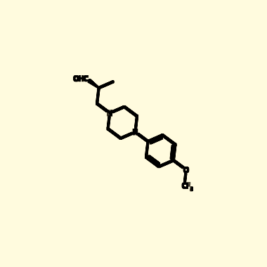 C[C@H](C=O)CN1CCN(c2ccc(OC(F)(F)F)cc2)CC1